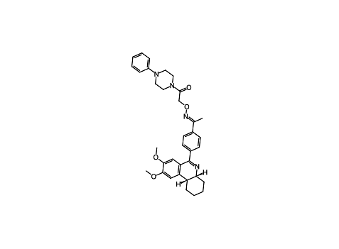 COc1cc2c(cc1OC)[C@H]1CCCC[C@H]1N=C2c1ccc(C(C)=NOCC(=O)N2CCN(c3ccccc3)CC2)cc1